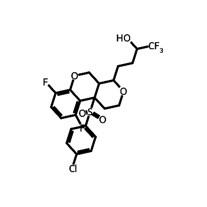 O=S(=O)(c1ccc(Cl)cc1)C12CCOC(CCC(O)C(F)(F)F)C1COc1c(F)ccc(F)c12